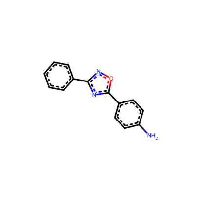 Nc1ccc(-c2nc(-c3ccccc3)no2)cc1